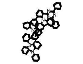 c1ccc(-c2nc(-c3ccccc3)nc(-c3cccc(-c4cccc(-c5cccc(N6c7ccccc7B7c8ccccc8N(c8ccccc8)c8cccc6c87)c5)c4)c3-n3c4ccccc4c4cc5c6ccccc6n(-c6ccccc6)c5cc43)n2)cc1